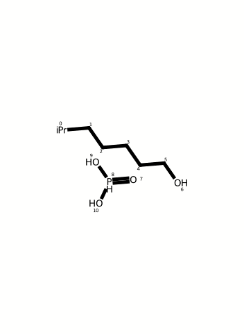 CC(C)CCCCCO.O=[PH](O)O